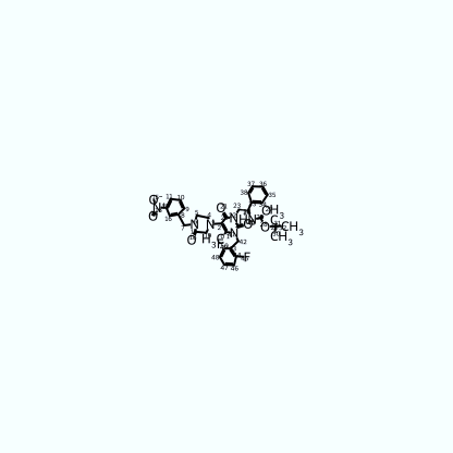 Cc1c(N2CCN(Cc3cccc([N+](=O)[O-])c3)C(=O)C2)c(=O)n(C[C@H](NC(=O)OC(C)(C)C)c2ccccc2)c(=O)n1Cc1c(F)cccc1F